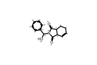 O=C1C2C=CCCC2C(=O)N1C(O)c1ccccc1